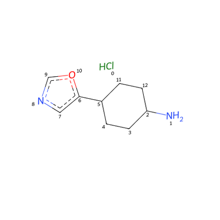 Cl.NC1CCC(c2cnco2)CC1